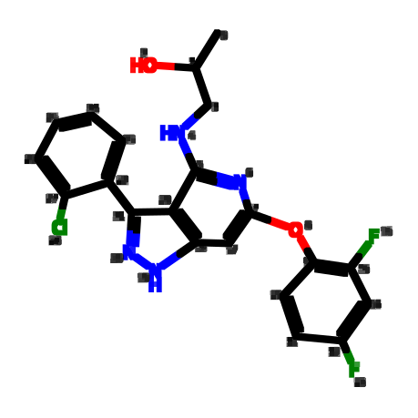 CC(O)CNc1nc(Oc2ccc(F)cc2F)cc2[nH]nc(-c3ccccc3Cl)c12